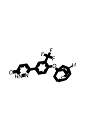 O=c1ccc(-c2ccc(OC34CC5CC[C@@H](C3)C(C5)C4)c(C(F)(F)F)c2)n[nH]1